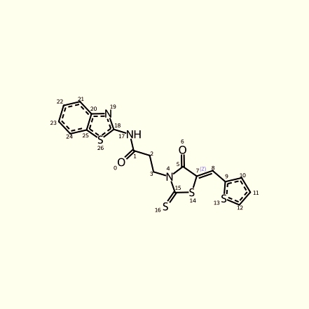 O=C(CCN1C(=O)/C(=C/c2cccs2)SC1=S)Nc1nc2ccccc2s1